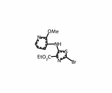 CCOC(=O)c1nc(Br)sc1Nc1cccnc1OC